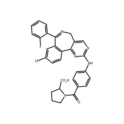 O=C(O)C1CCCN1C(=O)c1ccc(Nc2ncc3c(n2)-c2ccc(Cl)cc2C(c2ccccc2F)=NC3)cc1